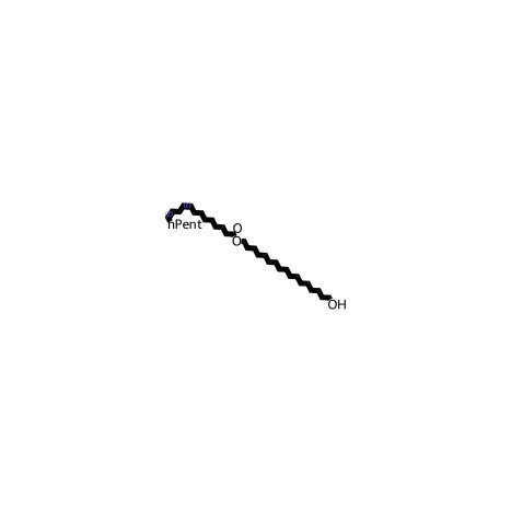 CCCCC/C=C\C/C=C\CCCCCCCC(=O)OCCCCCCCCCCCCCCCCCO